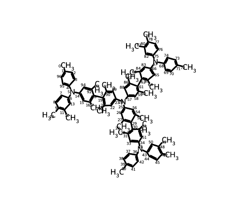 Cc1ccc(N(c2ccc(C)c(C)c2)c2cc(C)c(-c3c(C)cc(N(c4cc(C)c(-c5c(C)cc(N(c6ccc(C)cc6)c6ccc(C)c(C)c6)cc5C)c(C)c4)c4cc(C)c(-c5c(C)cc(N(c6ccc(C)cc6)c6ccc(C)c(C)c6)cc5C)c(C)c4)cc3C)c(C)c2)cc1